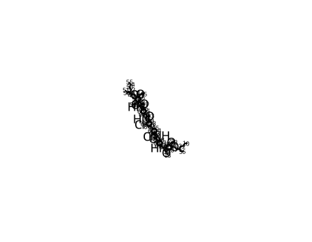 CCCCC(CC)COc1cc(OC)c(Nc2ccc(C(=O)Nc3ccc(-c4ccc(NC(=O)c5ccc(NC(=O)c6cc(OC)c(OCC(CC)CCCC)cc6OC)cc5)c(Cl)c4)cc3Cl)cc2)cc1OC